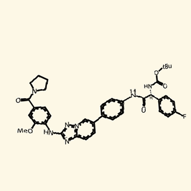 COc1cc(C(=O)N2CCCC2)ccc1Nc1nc2ccc(-c3ccc(NC(=O)[C@H](NC(=O)OC(C)(C)C)c4ccc(F)cc4)cc3)cn2n1